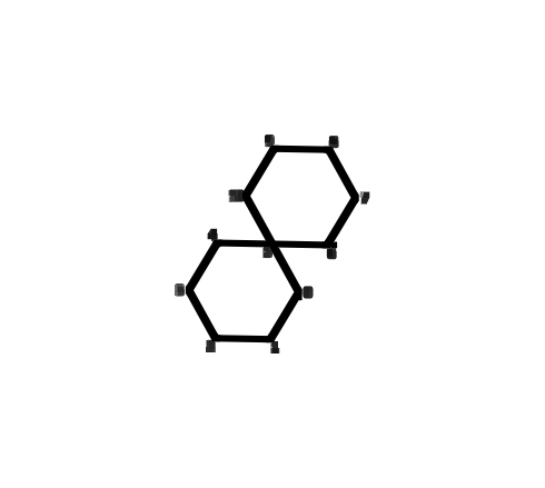 [CH]1CCCCC12[CH]CCCC2